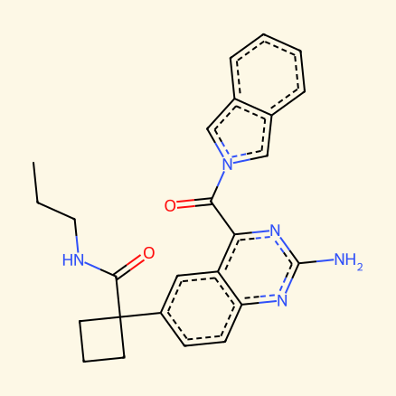 CCCNC(=O)C1(c2ccc3nc(N)nc(C(=O)n4cc5ccccc5c4)c3c2)CCC1